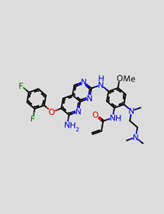 C=CC(=O)Nc1cc(Nc2ncc3cc(Oc4ccc(F)cc4F)c(N)nc3n2)c(OC)cc1N(C)CCN(C)C